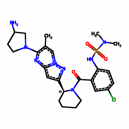 Cc1cn2nc([C@@H]3CCCCN3C(=O)c3cc(Cl)ccc3NS(=O)(=O)N(C)C)cc2nc1N1CCC(N)C1